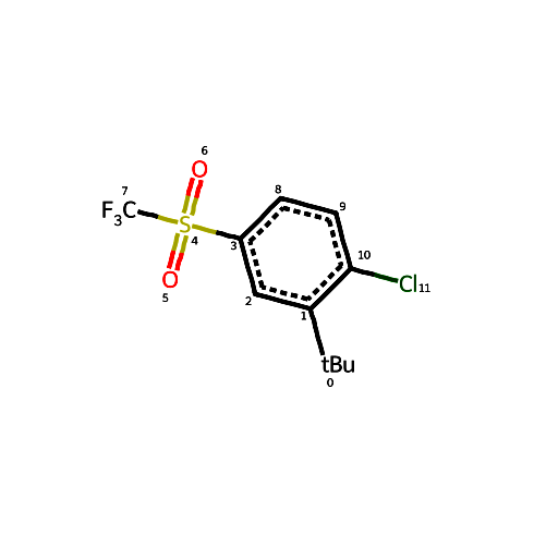 CC(C)(C)c1cc(S(=O)(=O)C(F)(F)F)ccc1Cl